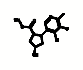 Cc1ncc([C@@H]2C[C@@H](O)CN2C(=O)OC(C)(C)C)c(Cl)c1F